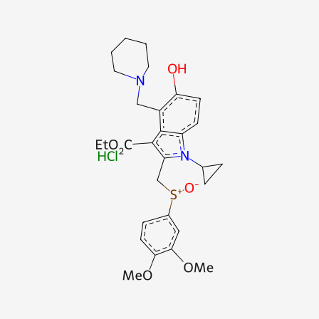 CCOC(=O)c1c(C[S+]([O-])c2ccc(OC)c(OC)c2)n(C2CC2)c2ccc(O)c(CN3CCCCC3)c12.Cl